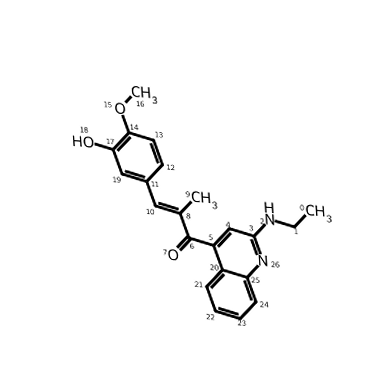 CCNc1cc(C(=O)/C(C)=C/c2ccc(OC)c(O)c2)c2ccccc2n1